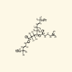 CC(C)C(C)(C)C=CC(C)(C)C(C)(C)C(OC(=O)CCCN(C)C)C(C)(C)C(C)(C)C(=O)OC/C=C/C(C)(C)C(C)(C)C